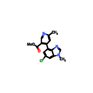 COC(=O)c1cnc(C)cc1-c1cc(Cl)cc2c1ncn2C